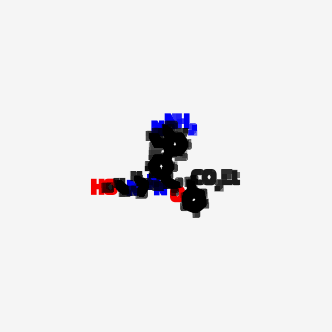 CCOC(=O)Cc1ccccc1OCc1nn(C2CN(CCO)C2)c2ccc(-c3cccc4c(N)nccc34)cc12